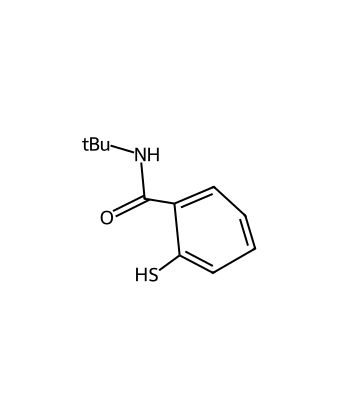 CC(C)(C)NC(=O)c1ccccc1S